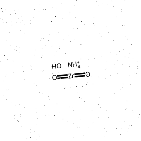 [NH4+].[OH-].[O]=[Zr]=[O]